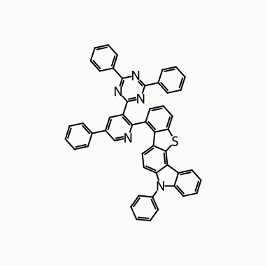 c1ccc(-c2cnc(-c3cccc4sc5c(ccc6c5c5ccccc5n6-c5ccccc5)c34)c(-c3nc(-c4ccccc4)nc(-c4ccccc4)n3)c2)cc1